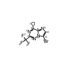 FC(F)(F)c1nc(Cl)c2ncc(Br)n2n1